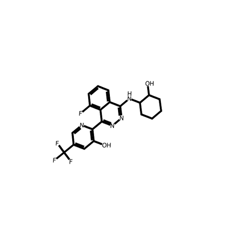 Oc1cc(C(F)(F)F)cnc1-c1nnc(NC2CCCCC2O)c2cccc(F)c12